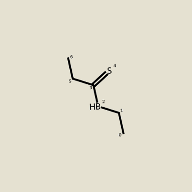 CCBC(=S)CC